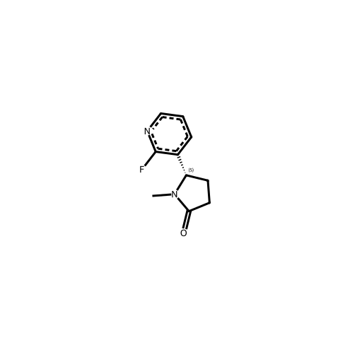 CN1C(=O)CC[C@H]1c1cccnc1F